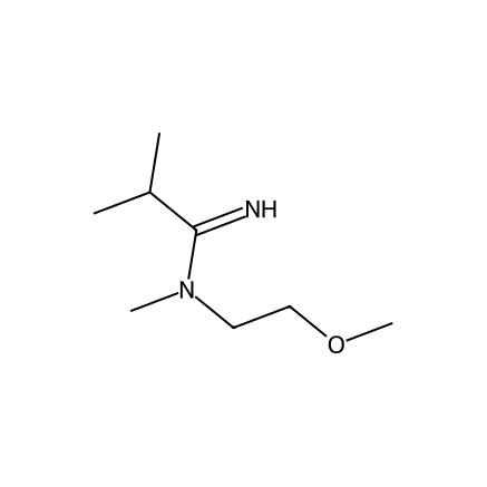 COCCN(C)C(=N)C(C)C